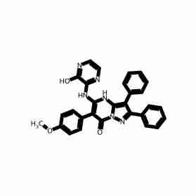 COc1ccc(-c2c(Nc3nccnc3O)[nH]c3c(-c4ccccc4)c(-c4ccccc4)nn3c2=O)cc1